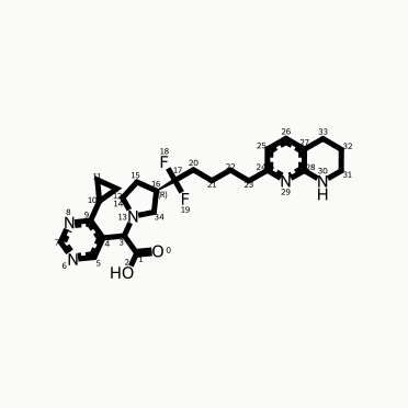 O=C(O)C(c1cncnc1C1CC1)N1CC[C@@H](C(F)(F)CCCCc2ccc3c(n2)NCCC3)C1